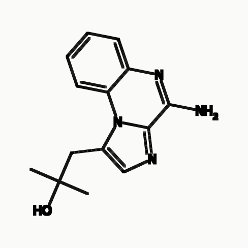 CC(C)(O)Cc1cnc2c(N)nc3ccccc3n12